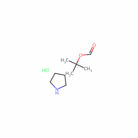 C1CCNC1.CC(C)(C)OC=O.Cl